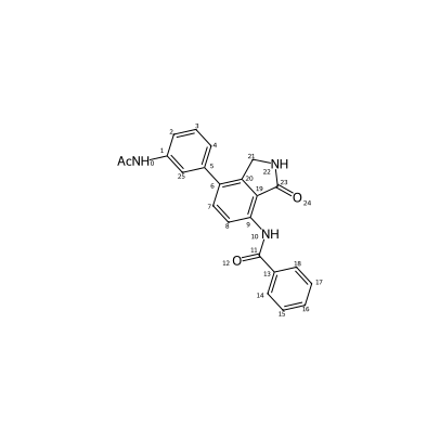 CC(=O)Nc1cccc(-c2ccc(NC(=O)c3ccccc3)c3c2CNC3=O)c1